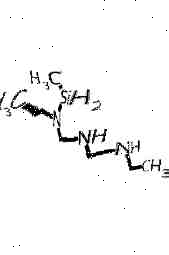 CCNCNCN(CC)[SiH2]C